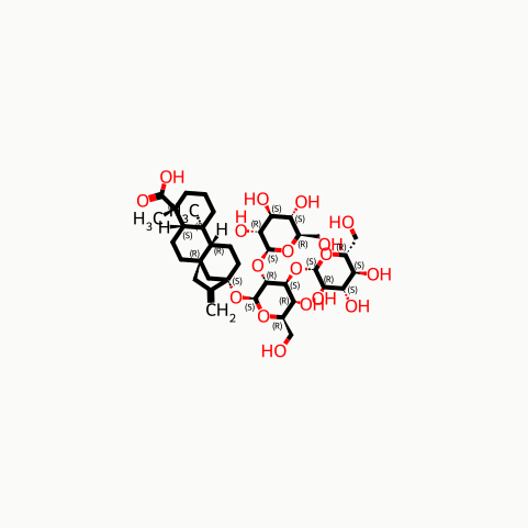 C=C1C[C@@]23CC[C@H]4[C@@](C)(CCC[C@@]4(C)C(=O)O)[C@@H]2CC[C@]1(O[C@@H]1O[C@H](CO)[C@@H](O)[C@H](O[C@@H]2O[C@H](CO)[C@@H](O)[C@H](O)[C@H]2O)[C@H]1O[C@@H]1O[C@H](CO)[C@@H](O)[C@H](O)[C@H]1O)C3